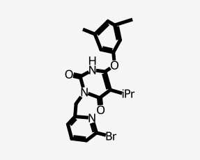 Cc1cc(C)cc(Oc2[nH]c(=O)n(Cc3cccc(Br)n3)c(=O)c2C(C)C)c1